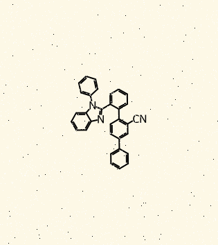 N#Cc1cc(-c2ccccc2)ccc1-c1ccccc1-c1nc2ccccc2n1-c1ccccc1